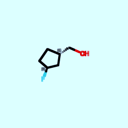 OC[C@H]1CC[C@H](F)C1